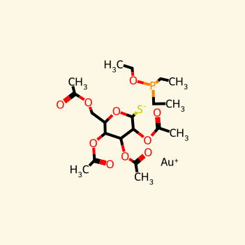 CC(=O)OCC1OC([S-])C(OC(C)=O)C(OC(C)=O)C1OC(C)=O.CCOP(CC)CC.[Au+]